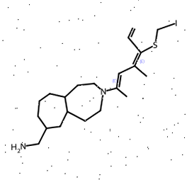 C=C/C(SCI)=C(C)\C=C(/C)N1CCC2CCCC(CN)CC2CC1